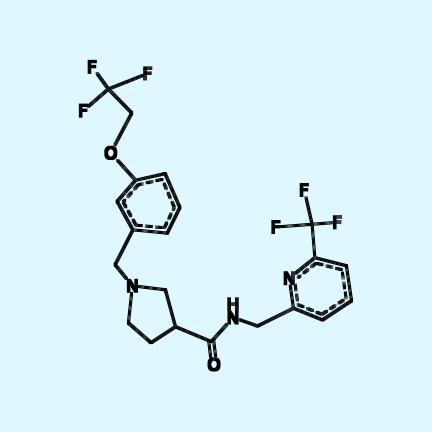 O=C(NCc1cccc(C(F)(F)F)n1)C1CCN(Cc2cccc(OCC(F)(F)F)c2)C1